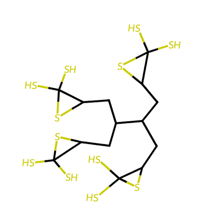 SC1(S)SC1CC(CC1SC1(S)S)C(CC1SC1(S)S)CC1SC1(S)S